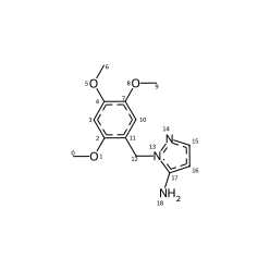 COc1cc(OC)c(OC)cc1Cn1nccc1N